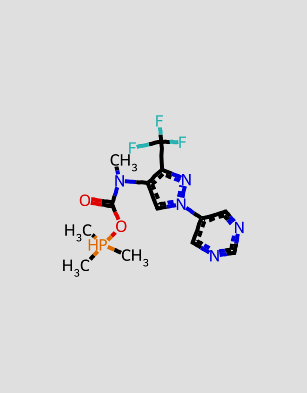 CN(C(=O)O[PH](C)(C)C)c1cn(-c2cncnc2)nc1C(F)(F)F